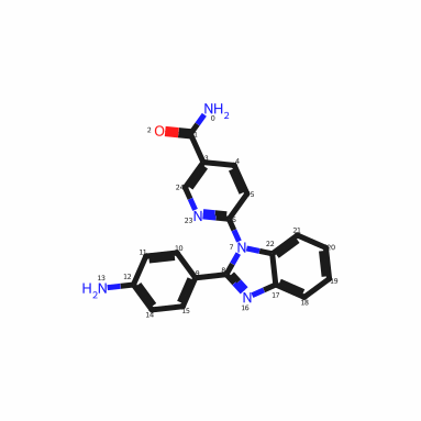 NC(=O)c1ccc(-n2c(-c3ccc(N)cc3)nc3ccccc32)nc1